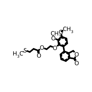 COc1ccc(-c2cccc3c2COC3=O)c(OCCOC(=O)CCSC)c1OC